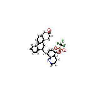 Cc1cc2c3c(ccc2c2ccccc12)CC(=O)CC3.O=S(=O)(Oc1cccc2ncccc12)C(F)(F)F